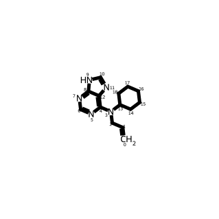 C=CCN(c1ncnc2[nH]cnc12)C1CCCCC1